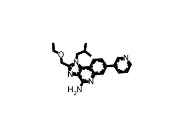 CCOCc1nc2c(N)nc3cc(-c4cccnc4)ccc3c2n1CC(C)C